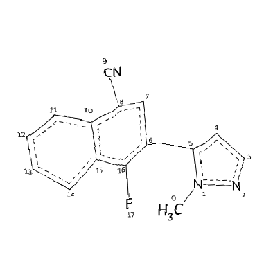 Cn1nccc1-c1cc(C#N)c2ccccc2c1F